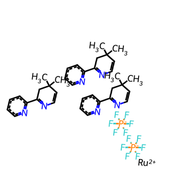 CC1(C)C=CN=C(c2ccccn2)C1.CC1(C)C=CN=C(c2ccccn2)C1.CC1(C)C=CN=C(c2ccccn2)C1.F[P-](F)(F)(F)(F)F.F[P-](F)(F)(F)(F)F.[Ru+2]